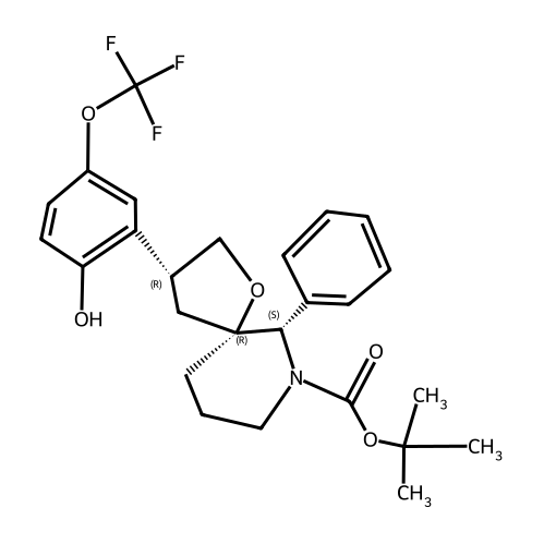 CC(C)(C)OC(=O)N1CCC[C@@]2(C[C@H](c3cc(OC(F)(F)F)ccc3O)CO2)[C@@H]1c1ccccc1